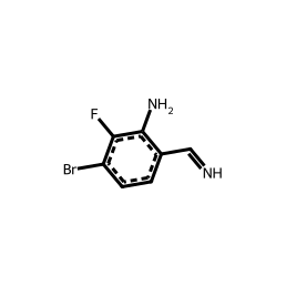 N=Cc1ccc(Br)c(F)c1N